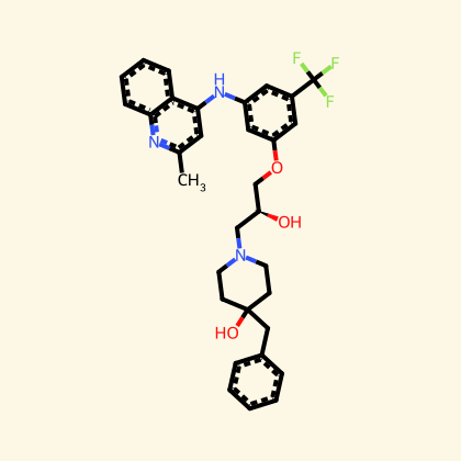 Cc1cc(Nc2cc(OC[C@@H](O)CN3CCC(O)(Cc4ccccc4)CC3)cc(C(F)(F)F)c2)c2ccccc2n1